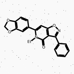 CCn1c(-c2ccc3c(c2)OCO3)cc2onc(-c3ccccc3)c2c1=O